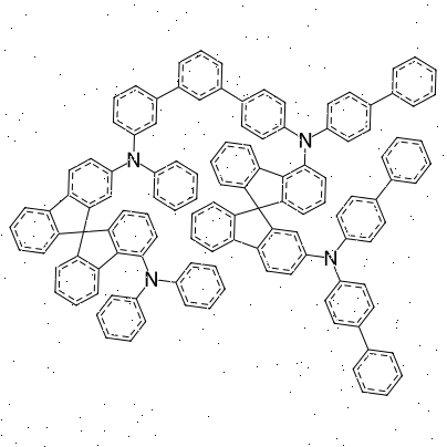 c1ccc(-c2ccc(N(c3ccc(-c4ccccc4)cc3)c3ccc4c(c3)C3(c5ccccc5-4)c4ccccc4-c4c(N(c5ccc(-c6ccccc6)cc5)c5ccc(-c6cccc(-c7cccc(N(c8ccccc8)c8ccc9c(c8)C8(c%10ccccc%10-9)c9ccccc9-c9c(N(c%10ccccc%10)c%10ccccc%10)cccc98)c7)c6)cc5)cccc43)cc2)cc1